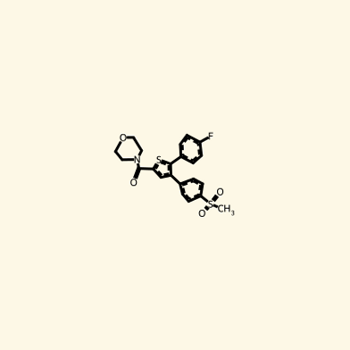 CS(=O)(=O)c1ccc(-c2cc(C(=O)N3CCOCC3)sc2-c2ccc(F)cc2)cc1